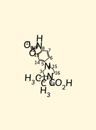 CC1(C)CN(c2ccc3[nH]c(=O)oc3c2)CCN1C(=O)O